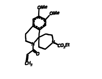 C=CC(=O)N1CCc2cc(OC)c(OC)cc2C12CCN(C(=O)OCC)CC2